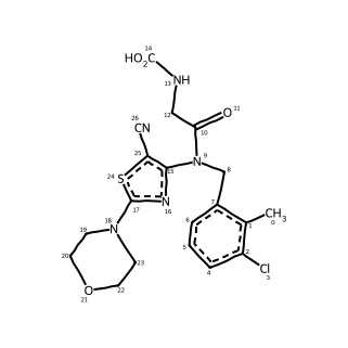 Cc1c(Cl)cccc1CN(C(=O)CNC(=O)O)c1nc(N2CCOCC2)sc1C#N